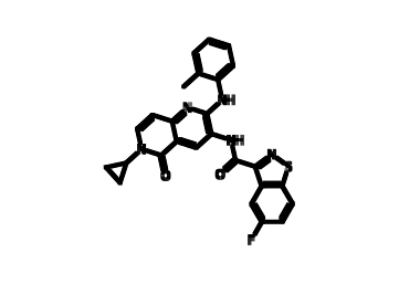 Cc1ccccc1Nc1nc2ccn(C3CC3)c(=O)c2cc1NC(=O)c1nsc2ccc(F)cc12